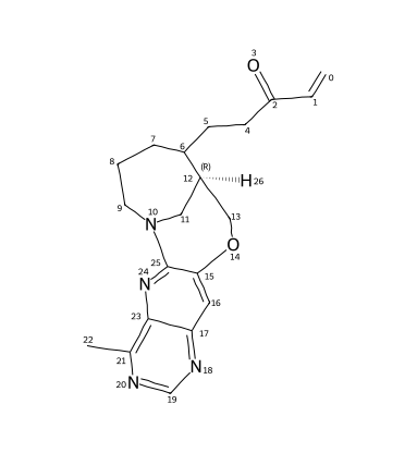 C=CC(=O)CCC1CCCN2C[C@@H]1COc1cc3ncnc(C)c3nc12